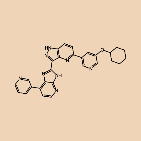 c1cncc(-c2ccnc3[nH]c(-c4n[nH]c5ccc(-c6cncc(OC7CCCCC7)c6)nc45)nc23)c1